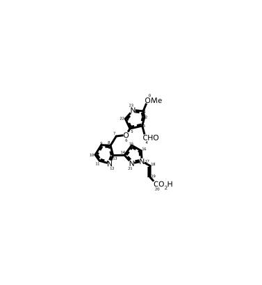 COc1cc(C=O)c(OCc2cccnc2-c2ccn(C=CC(=O)O)n2)cn1